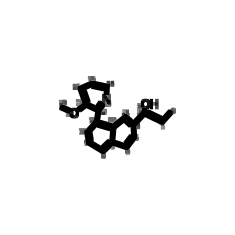 CC=C(O)c1ccc2cccc(-c3ncccc3OC)c2c1